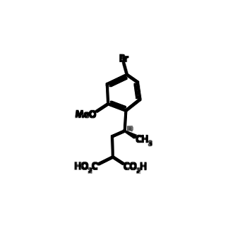 COc1cc(Br)ccc1[C@@H](C)CC(C(=O)O)C(=O)O